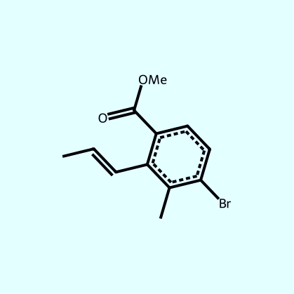 CC=Cc1c(C(=O)OC)ccc(Br)c1C